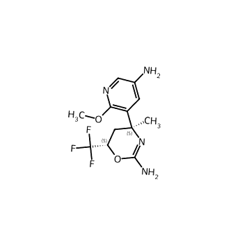 COc1ncc(N)cc1[C@]1(C)C[C@@H](C(F)(F)F)OC(N)=N1